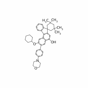 CC1(C)CC(C)(C)CC2(C1)c1ccccc1-c1c2cc(O)c2cc(-c3ccc(N4CCOCC4)cc3)c(OC3CCCCC3)cc12